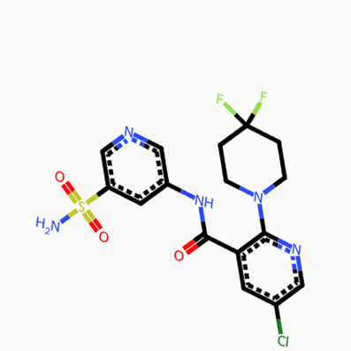 NS(=O)(=O)c1cncc(NC(=O)c2cc(Cl)cnc2N2CCC(F)(F)CC2)c1